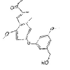 COc1cc(CO)cc(Oc2cc(C)c(C=C(C)C(C)=O)c(OC)c2)c1